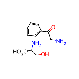 NCC(=O)c1ccccc1.N[C@@H](CO)C(=O)O